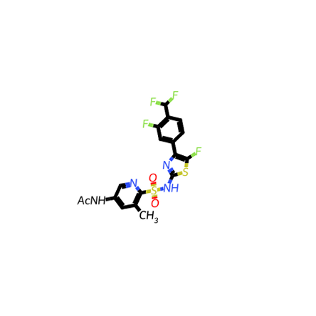 CC(=O)Nc1cnc(S(=O)(=O)Nc2nc(-c3ccc(C(F)F)c(F)c3)c(F)s2)c(C)c1